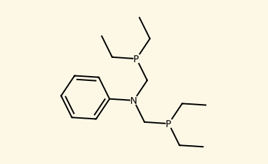 CCP(CC)CN(CP(CC)CC)c1ccccc1